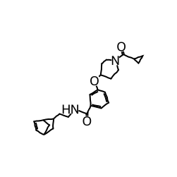 O=C(NCCC1CC2C=CC1C2)c1cccc(OC2CCN(C(=O)C3CC3)CC2)c1